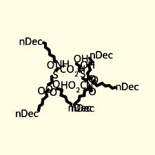 CCCCCCCCCCCCCCCC(=O)N(C(=O)CCCCCCCCCCCCCCC)[C@](CSCC(O)CO)(C(=O)O)C(=O)CCCCCCCCCCCCCCC.CCCCCCCCCCCCCCCC(=O)N[C@@H](CSCC(COC(=O)CCCCCCCCCCCCCCC)OC(=O)CCCCCCCCCCCCCCC)C(=O)O